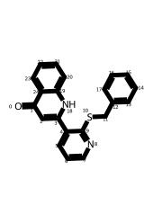 O=c1cc(-c2cccnc2SCc2ccccc2)[nH]c2ccccc12